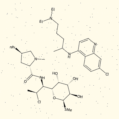 CCC[C@@H]1C[C@@H](C(=O)N[C@@H]([C@H]2O[C@H](SC)[C@H](O)[C@@H](O)[C@H]2O)[C@H](C)Cl)N(C)C1.CCN(CC)CCCC(C)Nc1ccnc2cc(Cl)ccc12